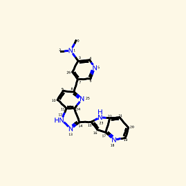 CN(C)c1cncc(-c2ccc3[nH]nc(-c4cc5ncccc5[nH]4)c3n2)c1